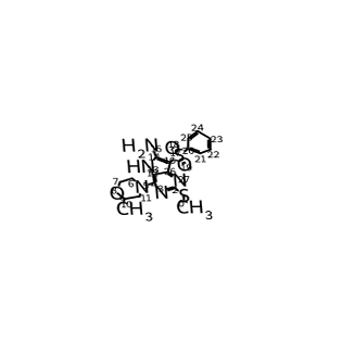 CSc1nc(N2CCOC(C)C2)c2[nH]c(N)c(S(=O)(=O)c3ccccc3)c2n1